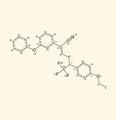 CCOc1ccc(C(CC=C(C#N)c2cccc(Oc3ccccc3)c2)C(F)(F)F)cc1